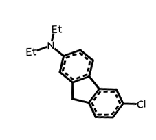 CCN(CC)c1ccc2c(c1)Cc1ccc(Cl)cc1-2